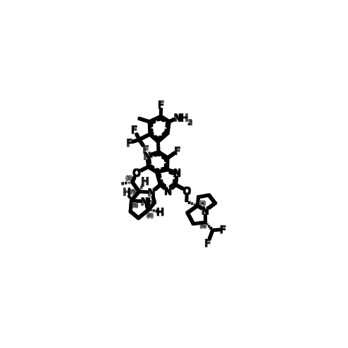 Cc1c(F)c(N)cc(-c2nc3c4c(nc(OC[C@]56CCCN5[C@H](C(F)F)CC6)nc4c2F)N2C[C@H]4CC[C@H](N4)[C@H]2[C@H](C)O3)c1C(F)(F)F